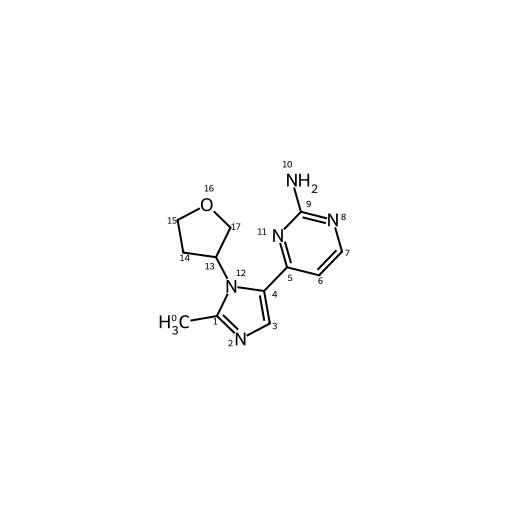 Cc1ncc(-c2ccnc(N)n2)n1C1CCOC1